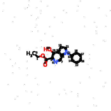 CCOC(=O)c1ncc2c(ccn2-c2ccccc2)c1O